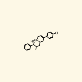 CC(CC1CC(c2ccc(Cl)cc2)=CCN1)C(O)c1ccccc1